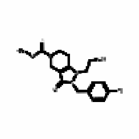 CC(C)(C)OC(=O)N1CCc2c(c(=O)n(Cc3ccc(Cl)cc3)n2CCO)C1